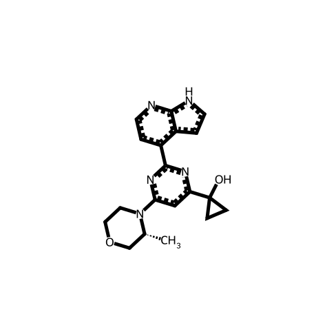 C[C@@H]1COCCN1c1cc(C2(O)CC2)nc(-c2ccnc3[nH]ccc23)n1